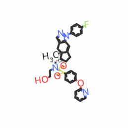 C[C@]12Cc3cnn(-c4ccc(F)cc4)c3C=C1CC[C@@H]2CN(CCO)S(=O)(=O)c1ccc(Oc2ccccn2)cc1